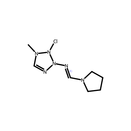 CN1C=NN(/N=C/N2CCCC2)N1Cl